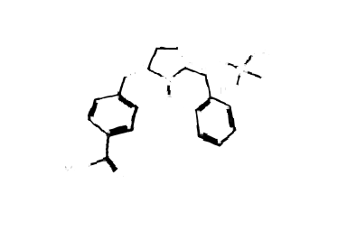 COC(=O)c1ccc(C[C@@H]2CC[C@H]([C@H](O[Si](C)(C)C(C)(C)C)c3ccccc3)N2C(=O)O)cc1